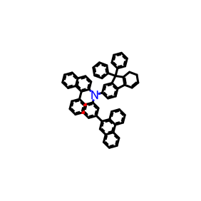 C1=CC2=C(CC1)C(c1ccccc1)(c1ccccc1)c1cc(N(c3cccc(-c4cc5ccccc5c5ccccc45)c3)c3ccc4ccccc4c3-c3ccccc3)ccc12